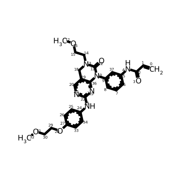 C=CC(=O)Nc1cccc(N2C(=O)N(CCOC)Cc3cnc(Nc4ccc(OCCOC)cc4)nc32)c1